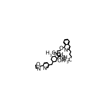 CCCCc1cc2ccccc2c(OCC[N+](C)(C)[C@H]2CCC(Cc3ccc(-c4ncco4)nc3)C[C@@]2(O)C(N)=O)n1